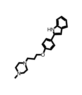 CN1CCN(CCCOc2ccc(-c3cc4ccccc4[nH]3)cc2)CC1